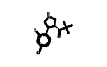 CC(C)(C)C(=O)[C@H]1CNC[C@@H]1c1ccc(Cl)cc1F